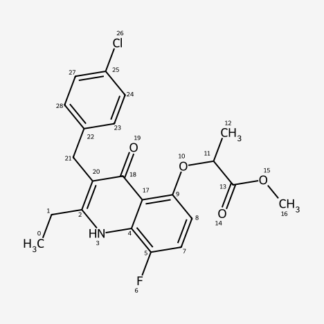 CCc1[nH]c2c(F)ccc(OC(C)C(=O)OC)c2c(=O)c1Cc1ccc(Cl)cc1